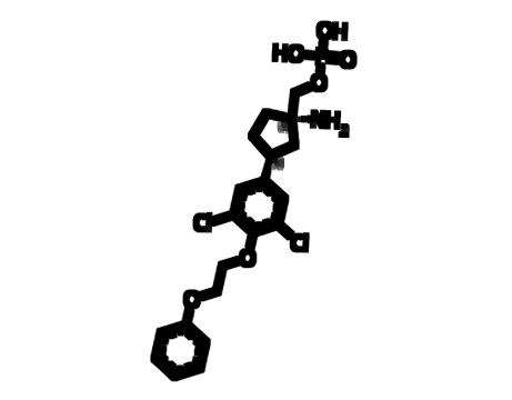 N[C@@]1(COP(=O)(O)O)CC[C@H](c2cc(Cl)c(OCCOc3ccccc3)c(Cl)c2)C1